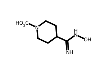 N=C(NO)C1CCN(C(=O)O)CC1